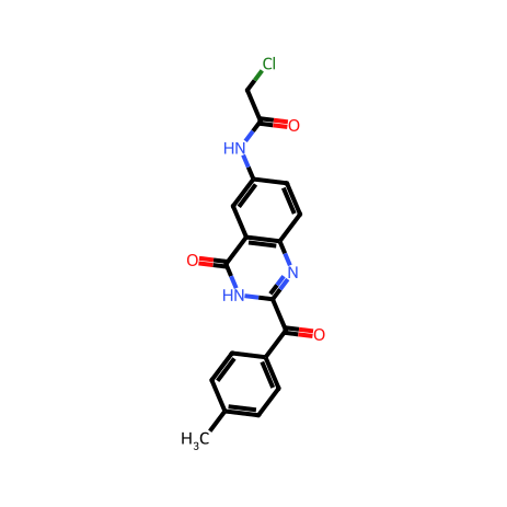 Cc1ccc(C(=O)c2nc3ccc(NC(=O)CCl)cc3c(=O)[nH]2)cc1